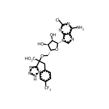 Nc1nc(Cl)nc2c1ncn2[C@@H]1O[C@H](COC(Cc2ccc(C(F)(F)F)cc2)(C(=O)O)c2nn[nH]n2)[C@@H](O)[C@H]1O